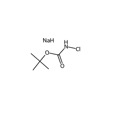 CC(C)(C)OC(=O)NCl.[NaH]